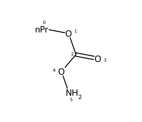 CCCOC(=O)ON